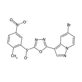 Cc1ccc([N+](=O)[O-])cc1[S+]([O-])c1nnc(-c2cnn3ccc(Br)cc23)o1